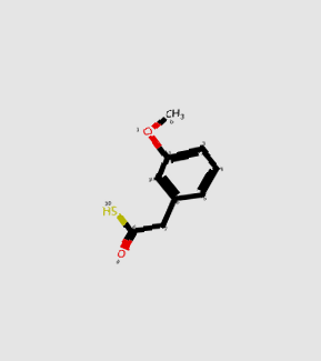 COc1cccc(CC(=O)S)c1